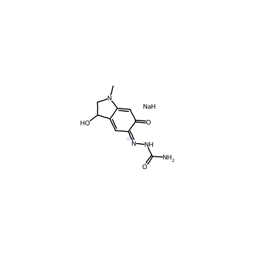 CN1CC(O)C2=C/C(=N/NC(N)=O)C(=O)C=C21.[NaH]